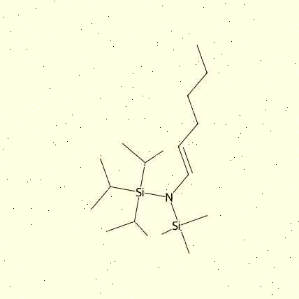 CCCCC=CN([Si](C)(C)C)[Si](C(C)C)(C(C)C)C(C)C